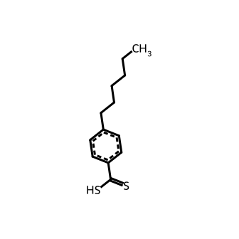 CCCCCCc1ccc(C(=S)S)cc1